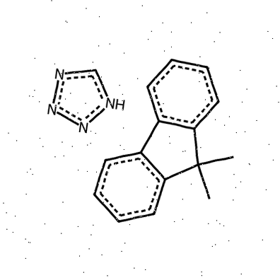 CC1(C)c2ccccc2-c2ccccc21.c1nnn[nH]1